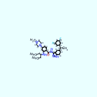 COCC(COC)Nc1cc(N2CCN(C)CC2)ccc1C(=O)Nc1n[nH]c2ccc(C(C)c3cc(F)cc(F)c3)cc12